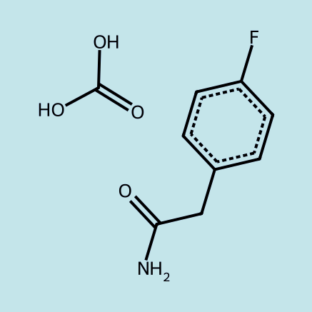 NC(=O)Cc1ccc(F)cc1.O=C(O)O